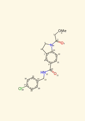 COCC(=O)N1CCc2cc(C(=O)NCc3ccc(Cl)cc3)ccc21